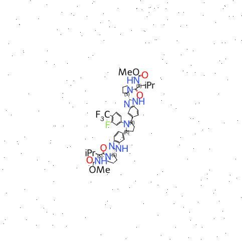 COC(=O)N[C@H](C(=O)N1CCC[C@H]1c1nc2cc([C@H]3CC[C@H](c4ccc5nc([C@@H]6CCCN6C(=O)[C@@H](NC(=O)OC)C(C)C)[nH]c5c4)N3c3ccc(C(F)(F)F)c(F)c3)ccc2[nH]1)C(C)C